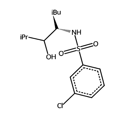 CC[C@H](C)[C@H](NS(=O)(=O)c1cccc(Cl)c1)C(O)C(C)C